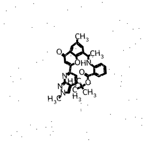 Cc1cc(C(C)Nc2ccccc2C(=O)OC(C)(C)C)c2oc(-c3ccc4cn(C)nc4n3)cc(=O)c2c1